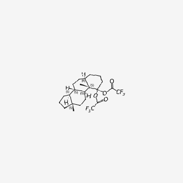 C[C@@]12CCC[C@H]1[C@@H]1CC[C@H]3CCCC(OC(=O)C(F)(F)F)(OC(=O)C(F)(F)F)[C@]3(C)[C@H]1CC2